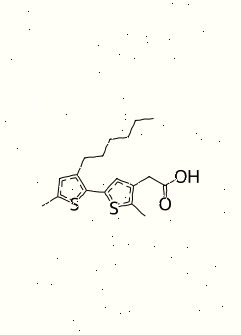 CCCCCCc1cc(C)sc1-c1cc(CC(=O)O)c(C)s1